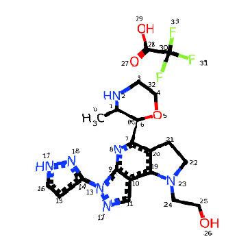 CC1NCCO[C@H]1c1nc2c(cnn2-c2cc[nH]n2)c2c1CCN2CCO.O=C(O)C(F)(F)F